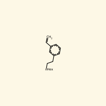 C=Cc1cccc(CCCCCCCC)c1